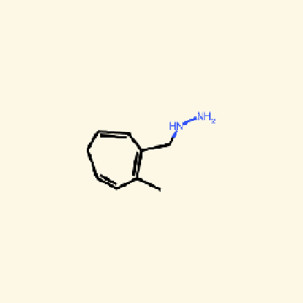 CC1=C(CNN)C=CCC=C1